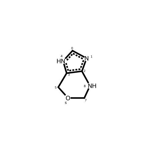 c1nc2c([nH]1)COCN2